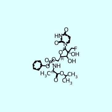 CC(C)OC(=O)[C@H](C)N[P@](=O)(OC[C@H]1O[C@@H](n2ccc(=O)[nH]c2=O)[C@@](O)(CF)C1O)Oc1ccccc1